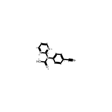 N#Cc1ccc(N(C(=O)O)c2ncccn2)cc1